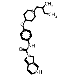 CCC(C)CN1CCC(Oc2ccc(NC(=O)N3C=C4C=CNC=C4C3)cc2)CC1